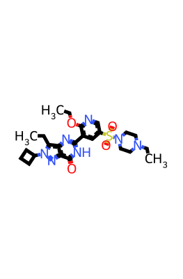 CCOc1ncc(S(=O)(=O)N2CCN(CC)CC2)cc1-c1nc2c(CC)n(C3CCC3)nc2c(=O)[nH]1